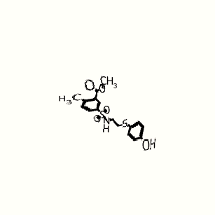 COC(=O)c1cc(S(=O)(=O)NCCSc2ccc(O)cc2)ccc1C